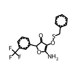 NC1=C(OSCc2ccccc2)C(=O)C(c2cccc(C(F)(F)F)c2)O1